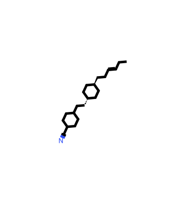 CC/C=C/CC[C@H]1CC[C@H](CCC2CCC(C#N)CC2)CC1